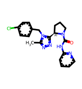 Cc1nnc([C@H]2CCCN2C(=O)Nc2ccccn2)n1Cc1ccc(Cl)cc1